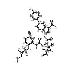 C=C[C@@]12C[C@@H](C(=O)Nc3nc(Br)ccc3CS(=O)(=O)N(C)CCC)N(C(=O)Cn3nc(C(C)=O)c4cc(-c5cnc(C)nc5)ccc43)[C@@H]1C2